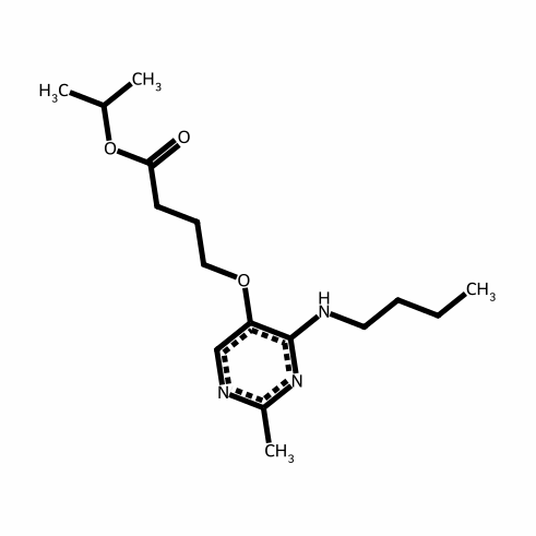 CCCCNc1nc(C)ncc1OCCCC(=O)OC(C)C